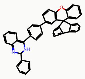 c1ccc(C2N=c3ccccc3=C(c3ccc(-c4ccc5c(c4)C4(c6ccccc6O5)c5ccccc5-c5ccccc54)cc3)N2)cc1